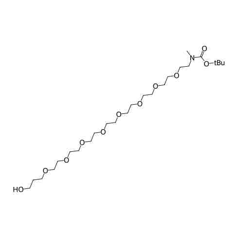 CN(CCOCCOCCOCCOCCOCCOCCOCCOCCCO)C(=O)OC(C)(C)C